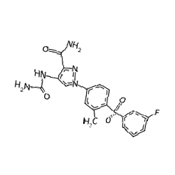 Cc1cc(-n2cc(NC(N)=O)c(C(N)=O)n2)ccc1S(=O)(=O)c1cccc(F)c1